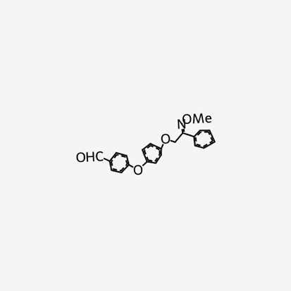 CON=C(COc1ccc(Oc2ccc(C=O)cc2)cc1)c1ccccc1